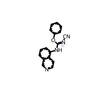 N#C/N=C(/Nc1cccc2cnccc12)Oc1ccccc1